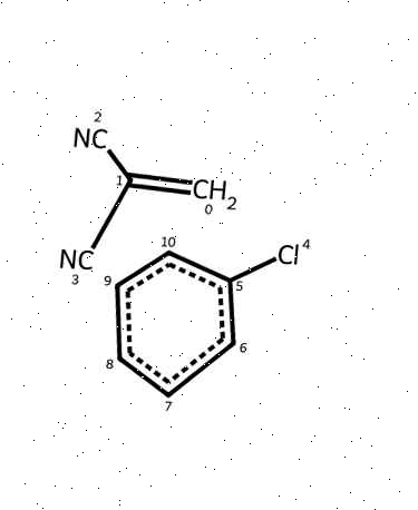 C=C(C#N)C#N.Clc1ccccc1